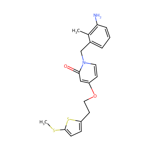 CSc1ccc(CCOc2ccn(Cc3cccc(N)c3C)c(=O)c2)s1